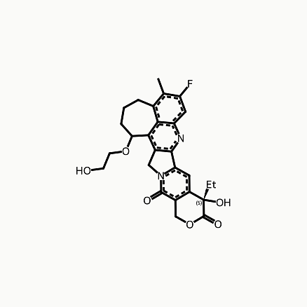 CC[C@@]1(O)C(=O)OCc2c1cc1n(c2=O)Cc2c-1nc1cc(F)c(C)c3c1c2C(OCCO)CCC3